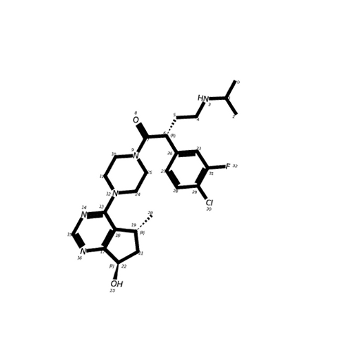 CC(C)NCC[C@@H](C(=O)N1CCN(c2ncnc3c2[C@H](C)C[C@H]3O)CC1)c1ccc(Cl)c(F)c1